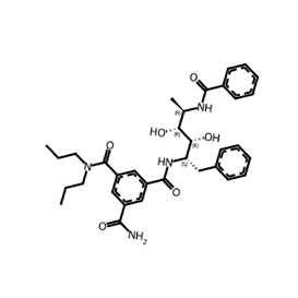 CCCN(CCC)C(=O)c1cc(C(N)=O)cc(C(=O)N[C@@H](Cc2ccccc2)[C@@H](O)[C@H](O)[C@@H](C)NC(=O)c2ccccc2)c1